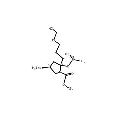 B.C[SiH](C)O[C@@]1(CCCNCO)C[C@H](C(C)(C)C)CN1C(=O)OC(C)(C)C